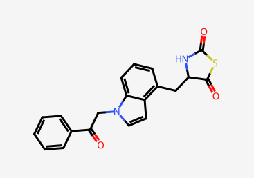 O=C1NC(Cc2cccc3c2ccn3CC(=O)c2ccccc2)C(=O)S1